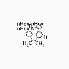 C=C(C(=C)c1ccccc1)c1ccccc1.CCCCCCP(CCCCCC)(CCCCCC)=NC1=CC=CC1.[Ti]